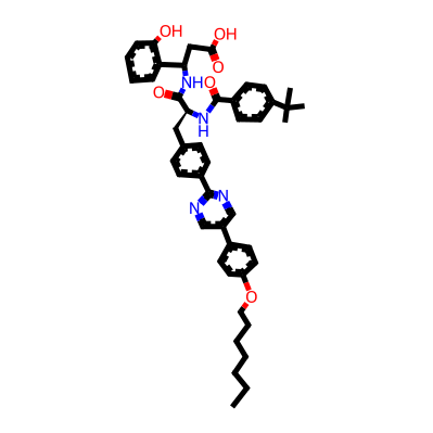 CCCCCCCOc1ccc(-c2cnc(-c3ccc(C[C@H](NC(=O)c4ccc(C(C)(C)C)cc4)C(=O)NC(CC(=O)O)c4ccccc4O)cc3)nc2)cc1